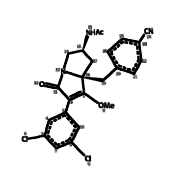 COC1=C(c2cc(Cl)cc(Cl)c2)C(=O)N2C[C@@H](NC(C)=O)C[C@]12Cc1ccc(C#N)cc1